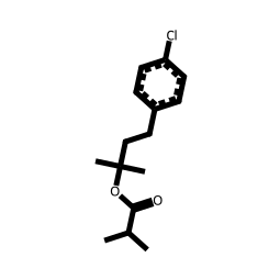 CC(C)C(=O)OC(C)(C)CCc1ccc(Cl)cc1